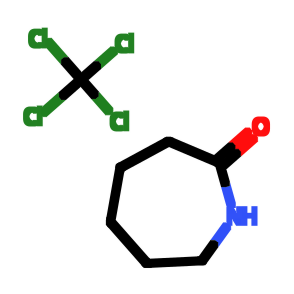 ClC(Cl)(Cl)Cl.O=C1CCCCCN1